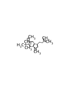 COc1cc2c(CCN(C)C)cn(C)c2cc1C(C)(C)C